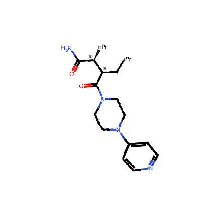 CCC[C@H](C(N)=O)[C@@H](CC(C)C)C(=O)N1CCN(c2ccncc2)CC1